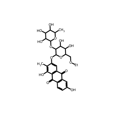 CCOCC1OC(Oc2cc3c(c(O)c2C)C(=O)c2ccc(O)cc2C3=O)C(OC2OC(C)C(O)C(O)C2O)C(O)C1O